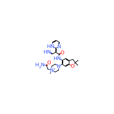 CC1(C)Cc2cc(NC(=O)/C(C=N)=C3\N=CC=CN3)c(N3CC[N+](C)(CC(N)=O)CC3)cc2O1